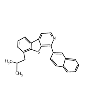 CC(C)Cc1cccc2c1sc1c(-c3ccc4ccccc4c3)nccc12